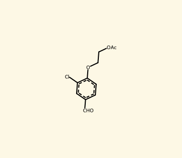 CC(=O)OCCOc1ccc(C=O)cc1Cl